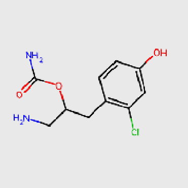 NCC(Cc1ccc(O)cc1Cl)OC(N)=O